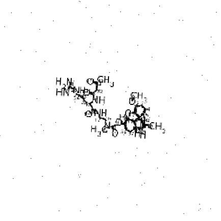 COc1ccc2c3c1O[C@H]1C(OC(=O)N(C)CCNC(=O)[C@H](CCCNC(=N)N)NC(=O)CC(C)=O)=CC[C@H]4[C@@H](C2)N(C)CC[C@]314